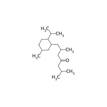 CC(C)CC(=O)CC(C)CC1CC(C)CCC1C(C)C